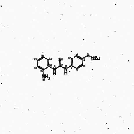 CC(C)(C)[CH]c1ccc(NC(=S)Nc2ccccc2N)cc1